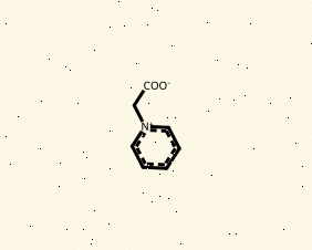 O=C([O-])C[n+]1ccccc1